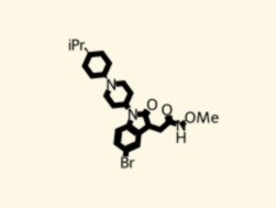 CONC(=O)CC1C(=O)N(C2CCN([C@H]3CC[C@@H](C(C)C)CC3)CC2)c2ccc(Br)cc21